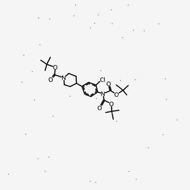 CC(C)(C)OC(=O)N1CCC(c2ccc(N(C(=O)OC(C)(C)C)C(=O)OC(C)(C)C)c(Cl)c2)CC1